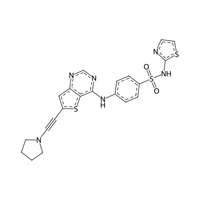 O=S(=O)(Nc1nccs1)c1ccc(Nc2ncnc3cc(C#CN4CCCC4)sc23)cc1